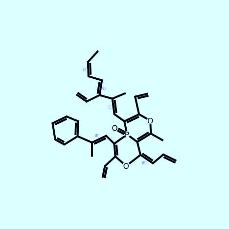 C=C/C=C1/OC(C=C)=C(/C=C(\C)c2ccccc2)P2(=O)C(/C=C(C)/C(C=C)=C/C=C\C)=C(C=C)OC(C)=C12